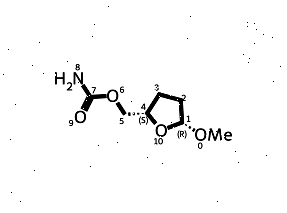 CO[C@H]1CC[C@@H](COC(N)=O)O1